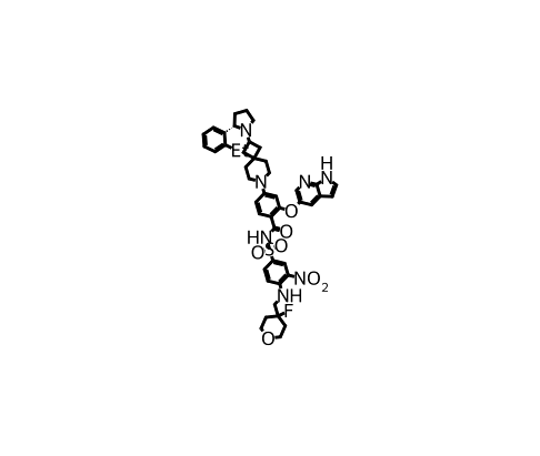 CCc1ccccc1[C@@H]1CCCN1C1CC2(CCN(c3ccc(C(=O)NS(=O)(=O)c4ccc(NCC5(F)CCOCC5)c([N+](=O)[O-])c4)c(Oc4cnc5[nH]ccc5c4)c3)CC2)C1